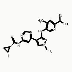 CCC(O)c1cc(C)c(Nc2nn(C)cc2-c2cc(NC(=O)[C@H]3C[C@H]3F)ncn2)cn1